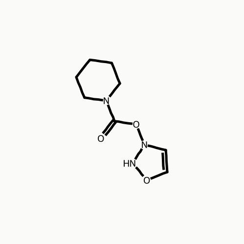 O=C(ON1C=CON1)N1CCCCC1